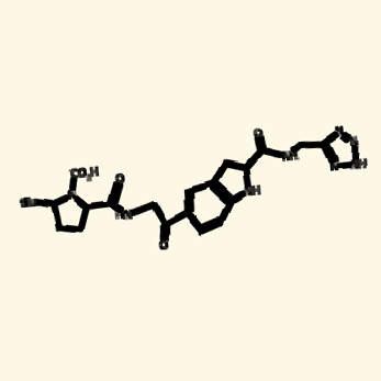 CC(C)(C)C1CCC(C(=O)NCC(=O)c2ccc3c(c2)CC(C(=O)NCc2nn[nH]n2)N3)N1C(=O)O